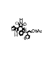 COCCC(C1CCNC1)n1nc(C2=C(c3c[nH]c4sccc34)C(=O)NC2=O)c2ccccc21